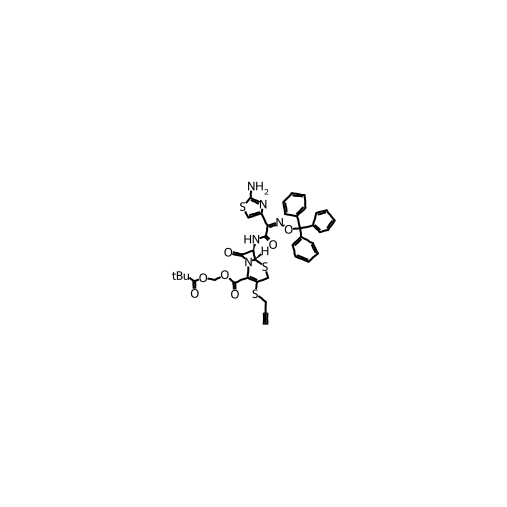 C#CCSC1=C(C(=O)OCOC(=O)C(C)(C)C)N2C(=O)[C@@H](NC(=O)/C(=N\OC(c3ccccc3)(c3ccccc3)c3ccccc3)c3csc(N)n3)[C@@H]2SC1